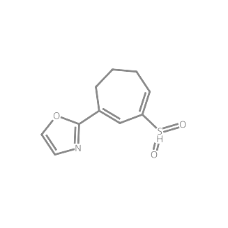 O=[SH](=O)C1=CCCCC(c2ncco2)=C1